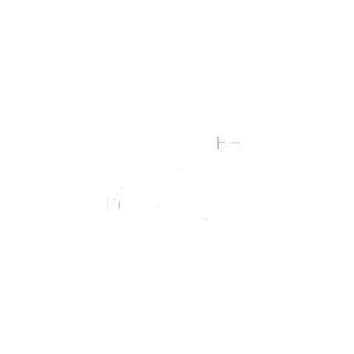 CBC(C)(CC)CC(C)Br